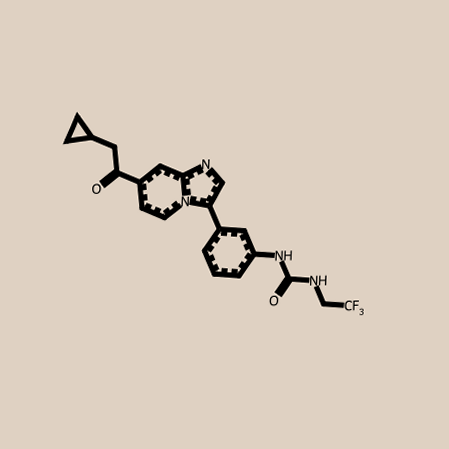 O=C(NCC(F)(F)F)Nc1cccc(-c2cnc3cc(C(=O)CC4CC4)ccn23)c1